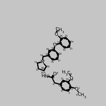 COc1ccc(CC(=O)N[C@@H]2CCN(Cc3cccc(Oc4ccccc4OC)c3)C2)cc1OC